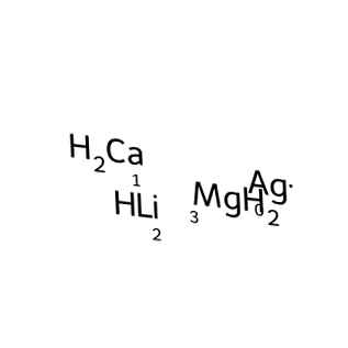 [Ag].[CaH2].[LiH].[MgH2]